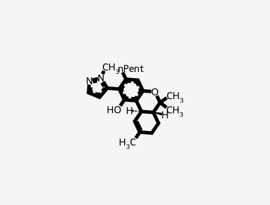 CCCCCc1cc2c(c(O)c1-c1ccnn1C)[C@@H]1C=C(C)CC[C@H]1C(C)(C)O2